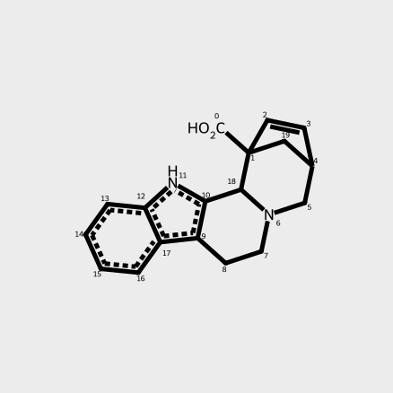 O=C(O)C12C=CC(CN3CCc4c([nH]c5ccccc45)C31)C2